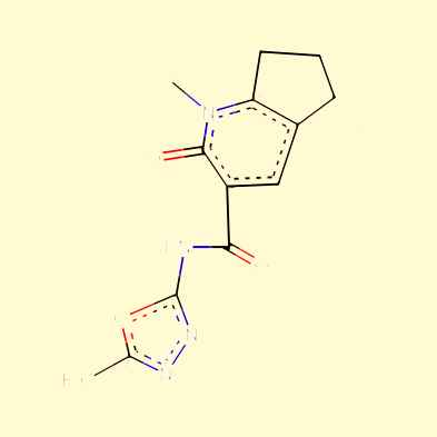 C[C@H]1CCc2c1cc(C(=O)Nc1nnc(C(F)(F)F)o1)c(=O)n2C